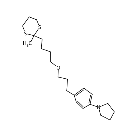 CC1(CCCCOCCCc2ccc(N3CCCC3)cc2)SCCCS1